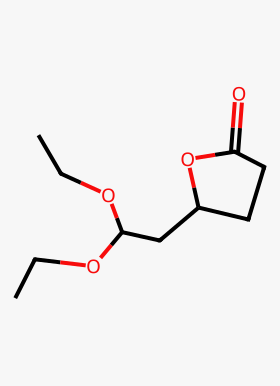 CCOC(CC1CCC(=O)O1)OCC